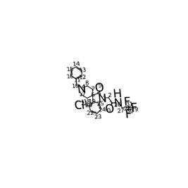 O=C(CN1C(=O)C2(CCN(Cc3ccccc3)CC2)c2c(Cl)cccc21)NCC(F)(F)F